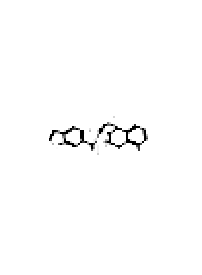 CC1(C)[C@H]2Cc3c(O)cccc3[C@]1(C)CCN2C(=O)c1ccc2cc[nH]c2c1